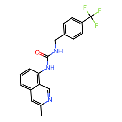 Cc1cc2cccc(NC(=O)NCc3ccc(C(F)(F)F)cc3)c2cn1